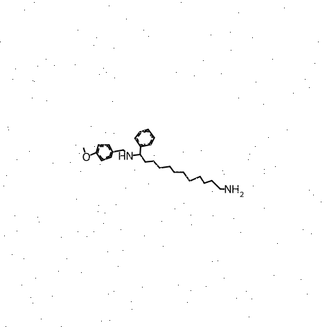 COc1ccc(CNC(CCCCCCCCCCCN)c2ccccc2)cc1